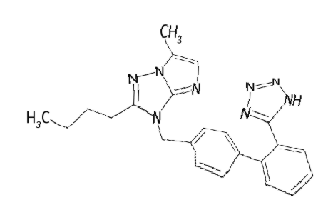 CCCCc1nn2c(C)cnc2n1Cc1ccc(-c2ccccc2-c2nnn[nH]2)cc1